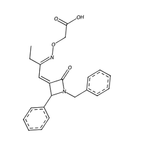 CCC(C=C1C(=O)N(Cc2ccccc2)C1c1ccccc1)=NOCC(=O)O